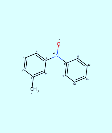 Cc1cccc(N([O])c2ccccc2)c1